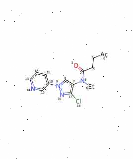 CCN(C(=O)CCC(C)=O)c1cn(-c2cccnc2)nc1Cl